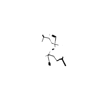 CC(C#N)(CCC(=O)Cl)/N=N/C(C)(C=N)CCC(=O)Cl